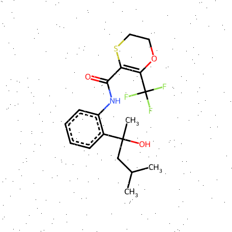 CC(C)CC(C)(O)c1ccccc1NC(=O)C1=C(C(F)(F)F)OCCS1